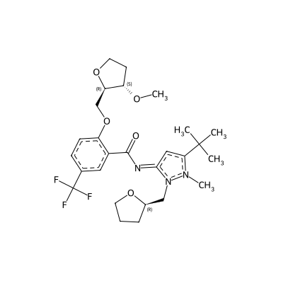 CO[C@H]1CCO[C@@H]1COc1ccc(C(F)(F)F)cc1C(=O)N=c1cc(C(C)(C)C)n(C)n1C[C@H]1CCCO1